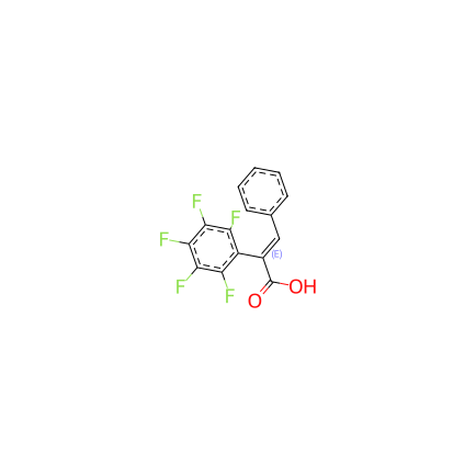 O=C(O)/C(=C/c1ccccc1)c1c(F)c(F)c(F)c(F)c1F